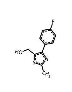 Cc1nc(-c2ccc(F)cc2)c(CO)s1